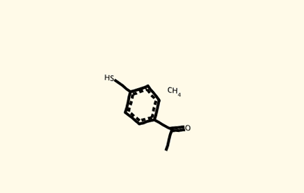 C.CC(=O)c1ccc(S)cc1